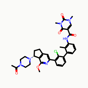 COc1nc(-c2cccc(-c3cccc(NC(=O)c4cn(C)c(=O)n(C)c4=O)c3C)c2Cl)cc2c1[C@H](N1CCN(C(C)=O)CC1)CC2